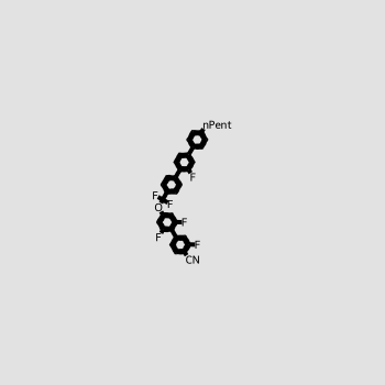 CCCCCc1ccc(-c2ccc(-c3ccc(C(F)(F)Oc4cc(F)c(-c5ccc(C#N)c(F)c5)c(F)c4)cc3)c(F)c2)cc1